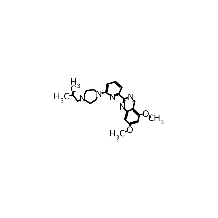 COc1cc(OC)c2cnc(-c3cccc(N4CCN(CC(C)C)CC4)n3)nc2c1